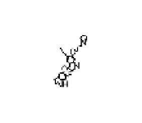 N#Cc1cc2c(Oc3cc4cc[nH]c4cc3F)ccnc2cc1OCCCN1CCCC1